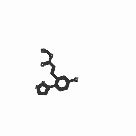 CC(C)(C)OC(=O)/C=C/c1cc(Cl)ccc1-n1ccnn1